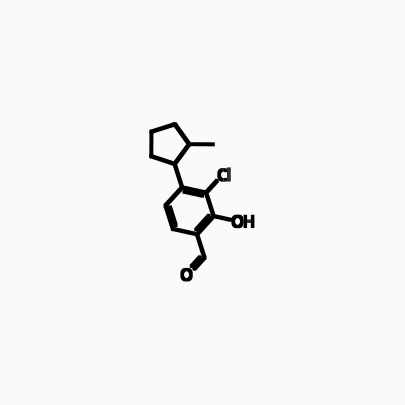 CC1CCCC1c1ccc(C=O)c(O)c1Cl